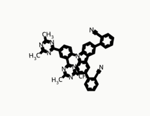 Cc1nc(C)nc(-c2ccc(-n3c4ccc(-c5ccccc5C#N)cc4c4cc(-c5ccccc5C#N)ccc43)c(-c3nc(C)nc(C)n3)c2)n1